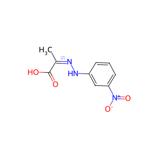 C/C(=N/Nc1cccc([N+](=O)[O-])c1)C(=O)O